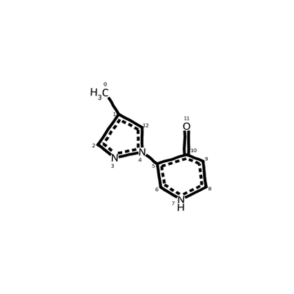 Cc1cnn(-c2c[nH]ccc2=O)c1